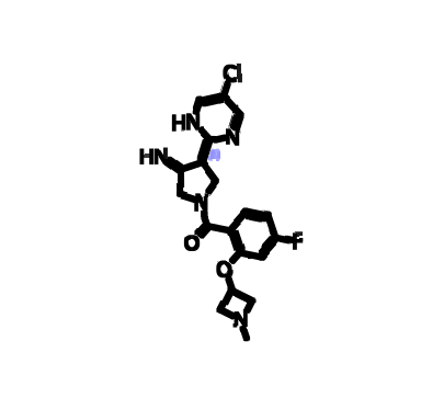 CN1CC(Oc2cc(F)ccc2C(=O)N2CC(=N)/C(=C3/N=CC(Cl)=CN3)C2)C1